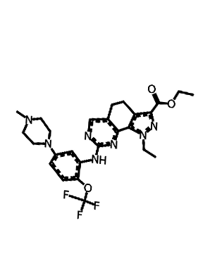 CCOC(=O)c1nn(CC)c2c1CCc1cnc(Nc3cc(N4CCN(C)CC4)ccc3OC(F)(F)F)nc1-2